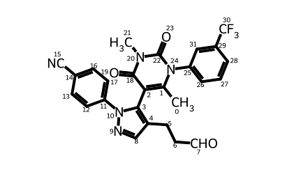 Cc1c(-c2c(CCC=O)cnn2-c2ccc(C#N)cc2)c(=O)n(C)c(=O)n1-c1cccc(C(F)(F)F)c1